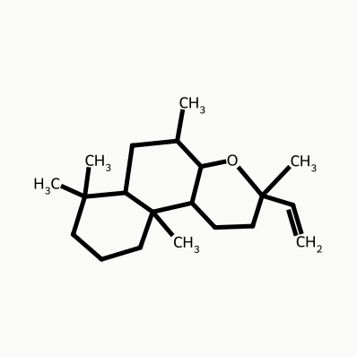 C=CC1(C)CCC2C(O1)C(C)CC1C(C)(C)CCCC21C